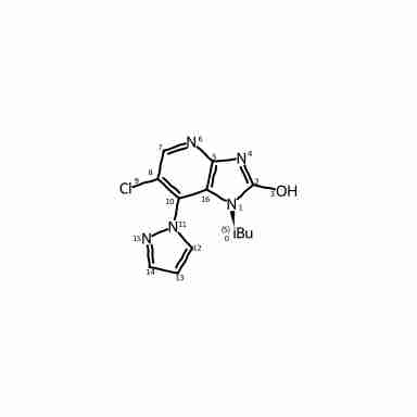 CC[C@H](C)n1c(O)nc2ncc(Cl)c(-n3cccn3)c21